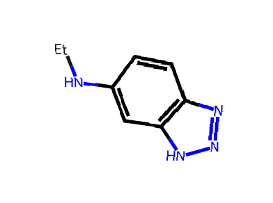 CCNc1ccc2nn[nH]c2c1